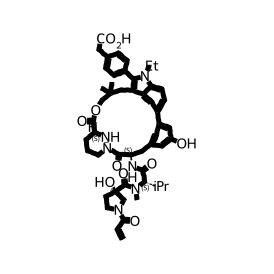 C=CC(=O)N1CC[C@](O)(C(=O)N(C)[C@H](C(=O)N[C@H]2Cc3cc(O)cc(c3)-c3ccc4c(c3)c(c(-c3ccc(CC(=O)O)cc3)n4CC)CC(C)(C)COC(=O)[C@@H]3CCCN(N3)C2=O)C(C)C)C1